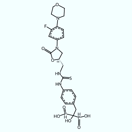 O=C1O[C@@H](CNC(=S)Nc2ccc(CC(O)([PH](=O)O)[PH](=O)O)cc2)CN1c1ccc(N2CCOCC2)c(F)c1